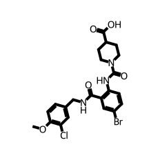 COc1ccc(CNC(=O)c2cc(Br)ccc2NC(=O)N2CCC(C(=O)O)CC2)cc1Cl